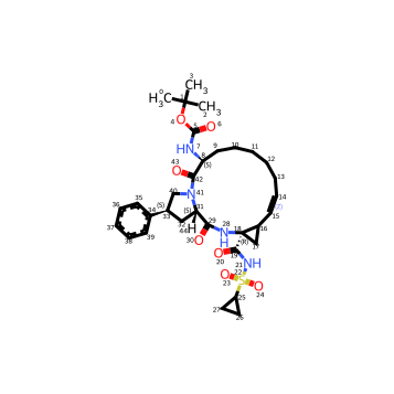 CC(C)(C)OC(=O)N[C@H]1CCCCC/C=C\C2C[C@@]2(C(=O)NS(=O)(=O)C2CC2)NC(=O)[C@@H]2C[C@@H](c3ccccc3)CN2C1=O